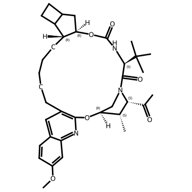 COc1ccc2cc3c(nc2c1)O[C@H]1CN(C(=O)[C@H](C(C)(C)C)NC(=O)O[C@@H]2CC4CCC4[C@H]2CCCCC3)[C@H](C(C)=O)[C@@H]1C